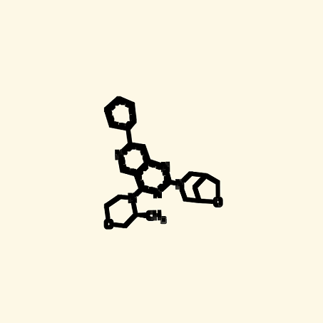 C[C@H]1COCCN1c1nc(N2CC3COC(C3)C2)nc2cc(-c3ccccc3)ncc12